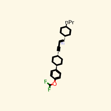 CCC[C@H]1CC[C@H](/C=C/C#C[C@H]2CC[C@H](c3ccc(OC(F)F)cc3)CC2)CC1